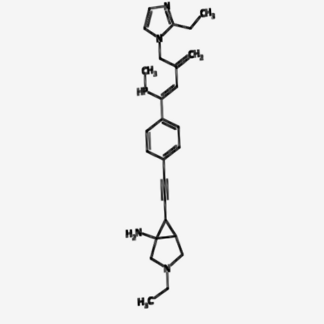 C=C(/C=C(\PC)c1ccc(C#CC2C3CN(CC)CC23N)cc1)Cn1ccnc1CC